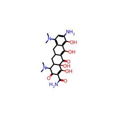 CN(C)c1cc(N)c(O)c2c1CC1CC3C(N(C)C)C(=O)C(C(N)=O)=C(O)C3(O)C(=O)C1=C2O